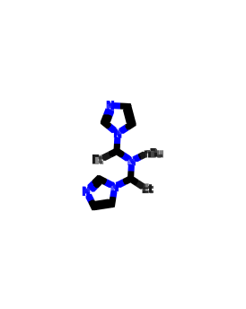 CCCCN(C(CC)n1ccnc1)C(CC)n1ccnc1